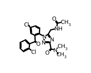 CC(=O)NCc1nc(C(=O)N(C)C)nn1-c1ccc(Cl)cc1C(=O)c1ccccc1Cl